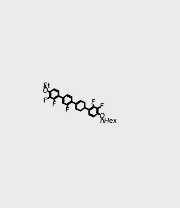 CCCCCCOc1ccc(C2CC=C(c3ccc(-c4ccc(OCC)c(F)c4F)cc3F)CC2)c(F)c1F